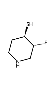 F[C@@H]1CNCC[C@H]1S